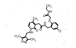 CCNC(=O)COc1ccc(Cl)cc1CNC(=O)Cc1c(C)ccn(NCc2c(C)noc2C)c1=O